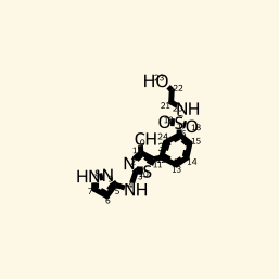 Cc1nc(Nc2cc[nH]n2)sc1-c1cccc(S(=O)(=O)NCCO)c1